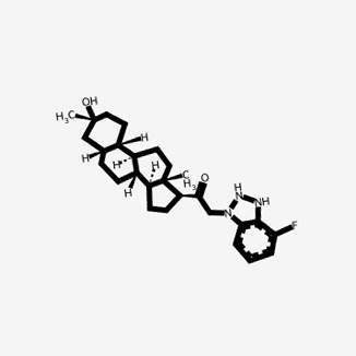 C[C@@]1(O)CC[C@H]2[C@H](CC[C@@H]3[C@@H]2CC[C@]2(C)[C@@H](C(=O)CN4NNc5c(F)cccc54)CC[C@@H]32)C1